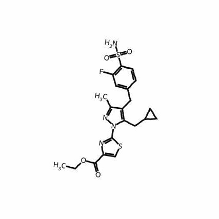 CCOC(=O)c1csc(-n2nc(C)c(Cc3ccc(S(N)(=O)=O)c(F)c3)c2CC2CC2)n1